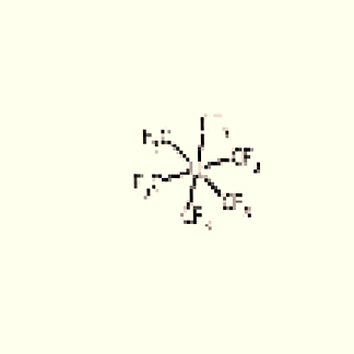 F[C](F)(F)[U]([C](F)(F)F)([C](F)(F)F)([C](F)(F)F)([C](F)(F)F)[C](F)(F)F